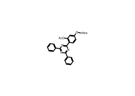 CCCCCCOc1ccc(-c2nc(-c3ccccc3)nc(-c3ccccc3)n2)c(OC(C)=O)c1